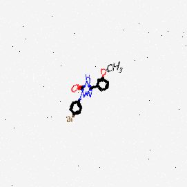 COc1cccc(-c2nn(-c3ccc(Br)cc3)c(=O)[nH]2)c1